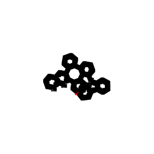 c1ccc2c(c1)-c1cc3cccnc3nc1-c1ccccc1-c1c-2cccc1-n1c2ccccc2c2ccccc21